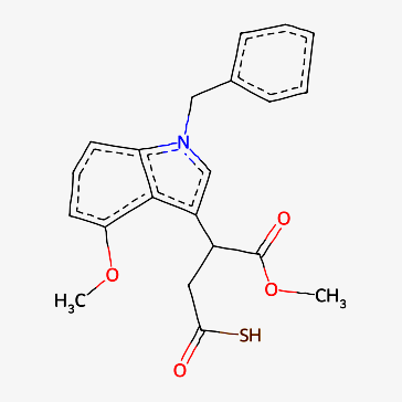 COC(=O)C(CC(=O)S)c1cn(Cc2ccccc2)c2cccc(OC)c12